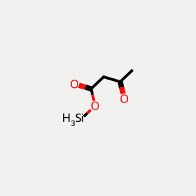 CC(=O)CC(=O)O[SiH3]